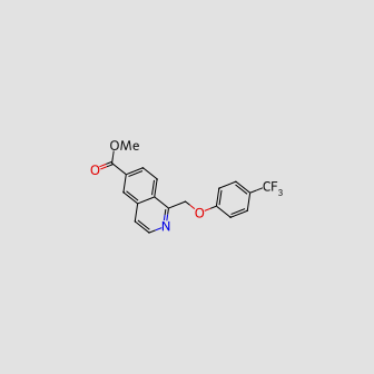 COC(=O)c1ccc2c(COc3ccc(C(F)(F)F)cc3)nccc2c1